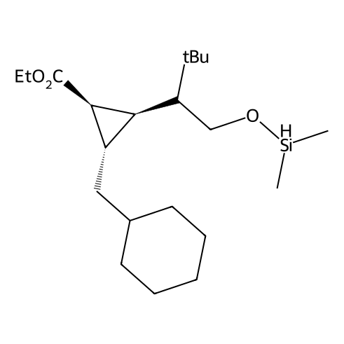 CCOC(=O)[C@@H]1[C@@H](CC2CCCCC2)[C@@H]1C(CO[SiH](C)C)C(C)(C)C